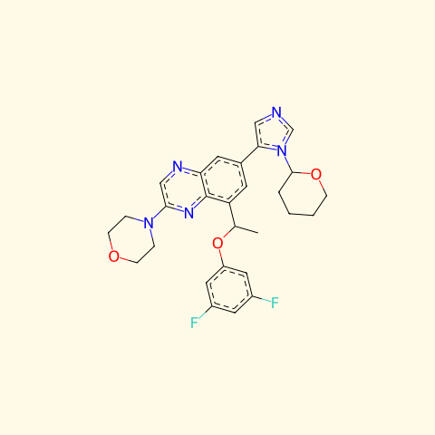 CC(Oc1cc(F)cc(F)c1)c1cc(-c2cncn2C2CCCCO2)cc2ncc(N3CCOCC3)nc12